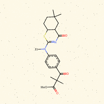 CCN(C1=NC(=O)C2CC(C)(C)CCC2S1)c1ccc(C(=O)C(C)(C)C(=O)OC)cc1